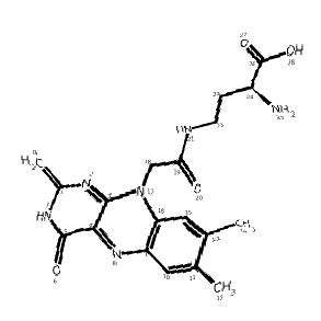 C=c1nc2c(c(=O)[nH]1)=Nc1cc(C)c(C)cc1N2CC(=O)NCC[C@H](N)C(=O)O